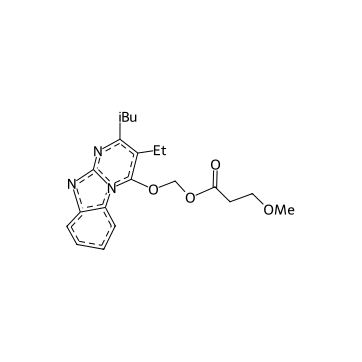 CCc1c(C(C)CC)nc2nc3ccccc3n2c1OCOC(=O)CCOC